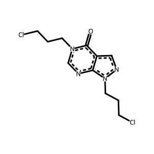 O=c1c2cnn(CCCCl)c2ncn1CCCCl